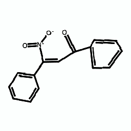 O=C(C=C(c1ccccc1)[N+](=O)[O-])c1ccccc1